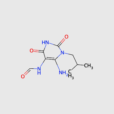 CC(C)Cn1c(N)c(NC=O)c(=O)[nH]c1=O